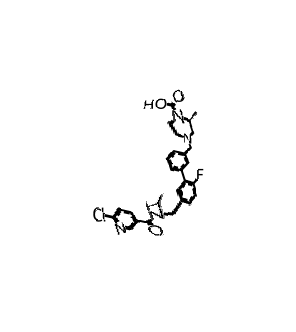 C[C@H]1CN(Cc2cccc(-c3cc(CNC(=O)c4ccc(Cl)nc4)ccc3F)c2)CCN1C(=O)O